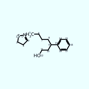 C1=NSCC1.CCCCC(CCO)c1ccccc1